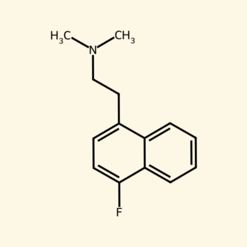 CN(C)CCc1ccc(F)c2ccccc12